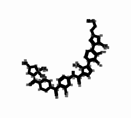 COCCn1cc(-c2ccc(-c3cnc(C(=O)Nc4ccc(C(=O)N5CCN(C(=O)[C@@H]6C[C@@H](O)C[N+]6(C)C)CC5)c(Cl)c4)n3C)c(F)c2F)c(C)n1